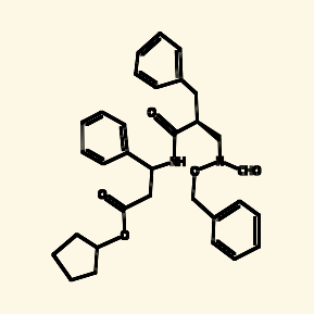 O=CN(C[C@H](Cc1ccccc1)C(=O)NC(CC(=O)OC1CCCC1)c1ccccc1)OCc1ccccc1